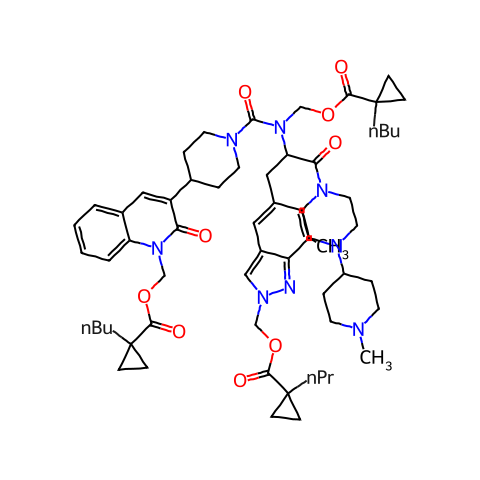 CCCCC1(C(=O)OCN(C(=O)N2CCC(c3cc4ccccc4n(COC(=O)C4(CCCC)CC4)c3=O)CC2)C(Cc2cc(C)c3nn(COC(=O)C4(CCC)CC4)cc3c2)C(=O)N2CCN(C3CCN(C)CC3)CC2)CC1